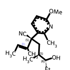 C/C=C(\C)[C@@](C#N)(C[C@H](C)[C@H](O)CC)c1ccc(OC)nc1C